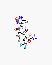 CNS(=O)(=O)c1c(C(F)(F)F)ccc(C(=O)Nc2nonc2C)c1C